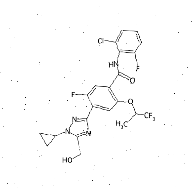 CC(Oc1cc(-c2nc(CO)n(C3CC3)n2)c(F)cc1C(=O)Nc1c(F)cccc1Cl)C(F)(F)F